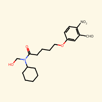 O=Cc1cc(OCCCCC(=O)N(CO)C2CCCCC2)ccc1[N+](=O)[O-]